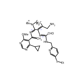 C=C(\N=C(C(/N=C(\C=O)NCc1ccc(SCC)cn1)=C(\C)CN)\N(C)[C@H](C)CC)c1c(OC)ncnc1C1CC1